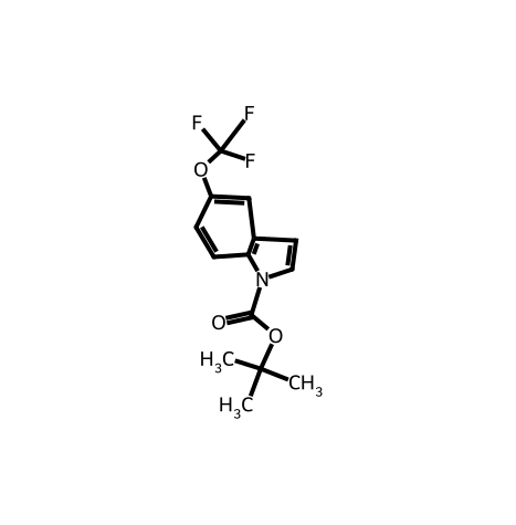 CC(C)(C)OC(=O)n1ccc2cc(OC(F)(F)F)ccc21